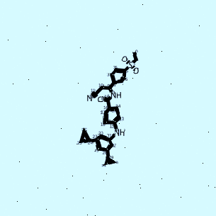 CCS(=O)(=O)c1ccc(C(CC#N)NC(=O)c2ccc(Nc3cc(C4CC4)cc(C4CC4)c3)cc2)cc1